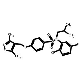 Cc1noc(C)c1COc1ccc(S(=O)(=O)N(CC(C)C)c2cc(F)ccc2Cl)cc1